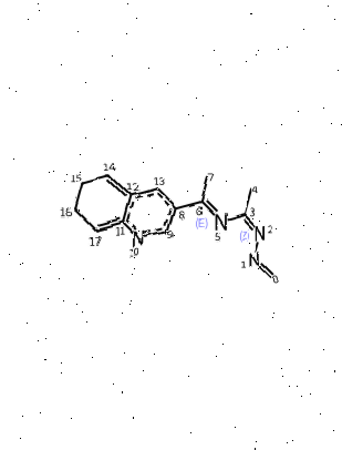 C=N/N=C(C)\N=C(/C)c1cnc2c(c1)=CCCC=2